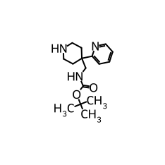 CC(C)(C)OC(=O)NCC1(c2ccccn2)CCNCC1